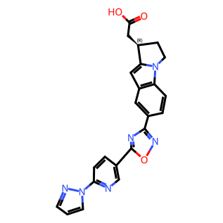 O=C(O)C[C@H]1CCn2c1cc1cc(-c3noc(-c4ccc(-n5cccn5)nc4)n3)ccc12